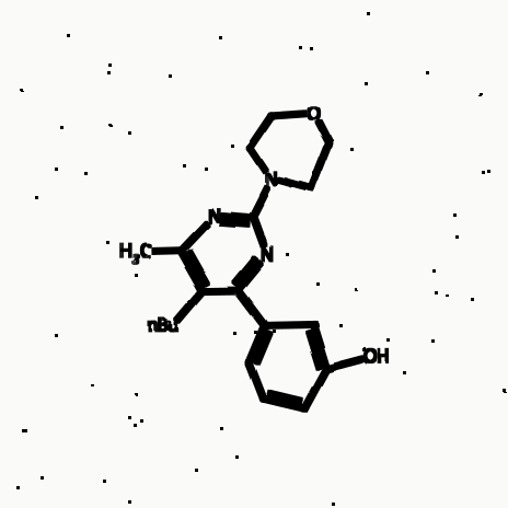 CCCCc1c(C)nc(N2CCOCC2)nc1-c1cccc(O)c1